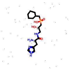 N[C@@H](Cc1c[nH]cn1)C(=O)NC[C@H](O)CP(=O)(O)CC1CCCCC1